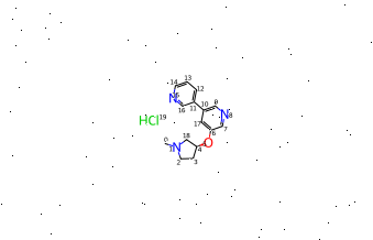 CN1CC[C@H](Oc2cncc(-c3cccnc3)c2)C1.Cl